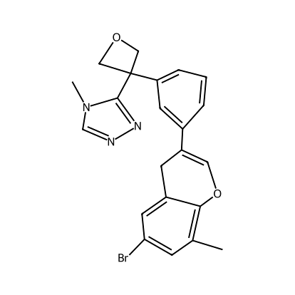 Cc1cc(Br)cc2c1OC=C(c1cccc(C3(c4nncn4C)COC3)c1)C2